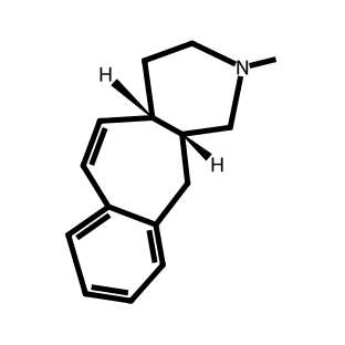 CN1CC[C@H]2C=Cc3ccccc3C[C@H]2C1